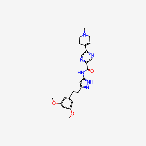 COc1cc(CCc2cc(NC(=O)c3cnc(C4=CCN(C)CC4)cn3)[nH]n2)cc(OC)c1